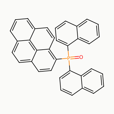 O=P(c1cccc2ccccc12)(c1cccc2ccccc12)c1ccc2ccc3cccc4ccc1c2c34